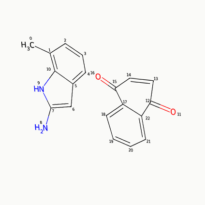 Cc1cccc2cc(N)[nH]c12.O=C1C=CC(=O)c2ccccc21